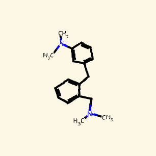 CN(C)Cc1ccccc1Cc1cc[c]c(N(C)C)c1